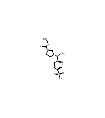 CN(c1ccc(S(C)(=O)=O)cn1)[C@@H]1CCN(C(=O)OC(C)(C)C)C1